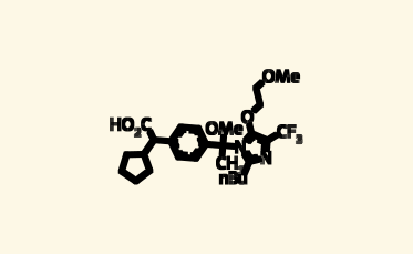 CCCCc1nc(C(F)(F)F)c(OCCOC)n1C(C)(OC)c1ccc(C(C(=O)O)C2CCCC2)cc1